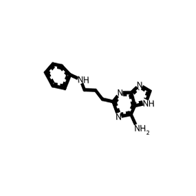 Nc1nc(CCCNc2ccccc2)nc2nc[nH]c12